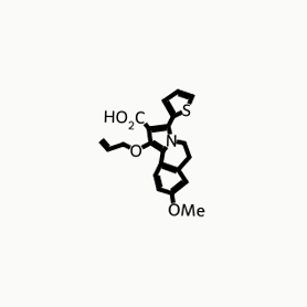 C=CCOc1c(C(=O)O)c(-c2cccs2)n2c1-c1ccc(OC)cc1CC2